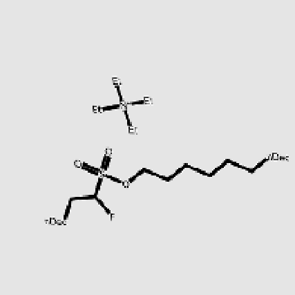 CCCCCCCCCCCCCCCCOS(=O)(=O)C(F)CCCCCCCCCCC.CC[N+](CC)(CC)CC